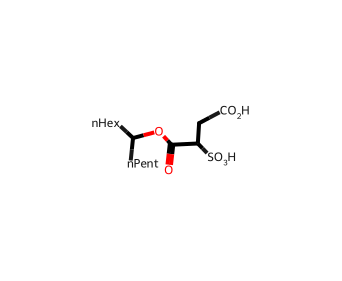 CCCCCCC(CCCCC)OC(=O)C(CC(=O)O)S(=O)(=O)O